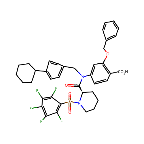 O=C(O)c1ccc(N(Cc2ccc(C3CCCCC3)cc2)C(=O)[C@H]2CCCCN2S(=O)(=O)c2c(F)c(F)c(F)c(F)c2F)cc1OCc1ccccc1